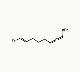 CCC=CCCCC=C=CCCC